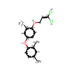 CC(C)c1ccc(Oc2ccc(OCC=C(Cl)Cl)c(C(F)(F)F)c2)c(C(C)C)c1